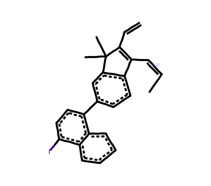 C=CC1=C(/C=C\C)c2ccc(-c3ccc(I)c4ccccc34)cc2C1(C)C